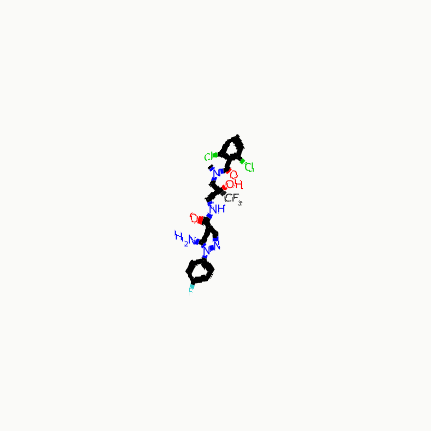 CN(CC(O)(CNC(=O)c1cnn(-c2ccc(F)cc2)c1N)C(F)(F)F)C(=O)c1c(Cl)cccc1Cl